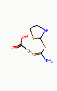 CC(=O)O.NC(=S)SC1NCCS1